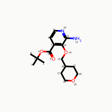 CC(C)(C)OC(=O)c1ccnc(N)c1OCC1CCOCC1